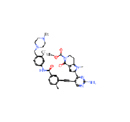 CCN1CCN(Cc2ccc(NC(=O)c3ccc(C)c(C#Cc4cnc(N)nc4-c4cc5c(n4C)CCN(C(=O)OC(C)(C)C)C5=O)c3)cc2C(F)(F)F)CC1